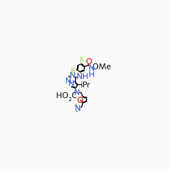 CONC(=O)c1cc(Nc2ncnn3cc(N(Cc4ccc(CN(C)C)o4)C(=O)O)c(C(C)C)c23)c(F)cc1F